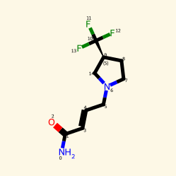 NC(=O)C=CCN1CC[C@H](C(F)(F)F)C1